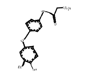 CCc1cc(Oc2ccc(NC(=O)CC(=O)O)cc2)ccc1O